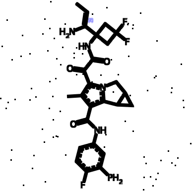 C/C=C(\N)C1(NC(=O)C(=O)c2c(C)c(C(=O)Nc3ccc(F)c(P)c3)c3n2CC2CC32)CC(F)(F)C1